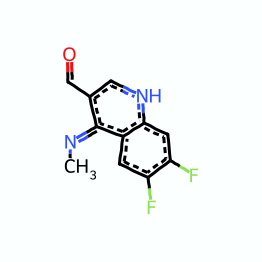 C/N=c1/c(C=O)c[nH]c2cc(F)c(F)cc12